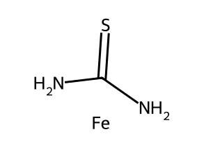 NC(N)=S.[Fe]